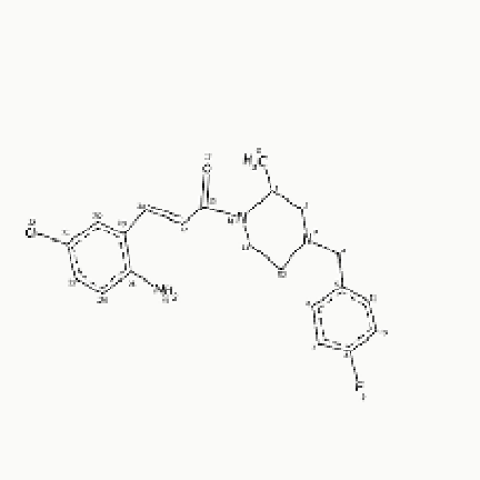 CC1CN(Cc2ccc(F)cc2)CCN1C(=O)/C=C/c1cc(Cl)ccc1N